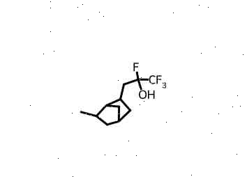 CC1CC2CC(CC(O)(F)C(F)(F)F)C1C2